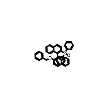 O=P(c1ccccc1)(c1ccccc1)c1ccc2ccccc2c1-c1c(OCc2ccccc2)ccc2ccccc12